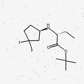 CC[C@@H](N[C@@H]1CCC(F)(F)C1)C(=O)OC(C)(C)C